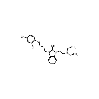 CCN(CC)CCn1c(=N)n(CCCOc2ccc(Cl)cc2Cl)c2ccccc21